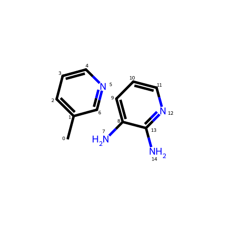 Cc1cccnc1.Nc1cccnc1N